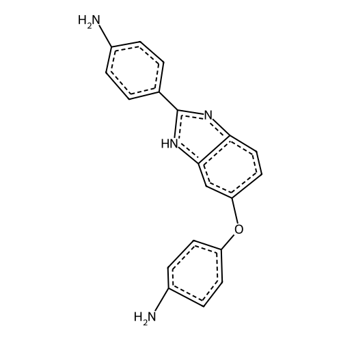 Nc1ccc(Oc2ccc3nc(-c4ccc(N)cc4)[nH]c3c2)cc1